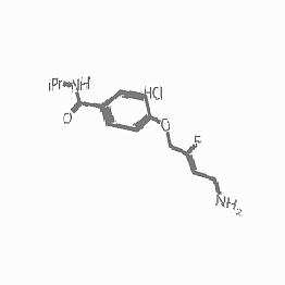 CC(C)NC(=O)c1ccc(OCC(F)=CCN)cc1.Cl